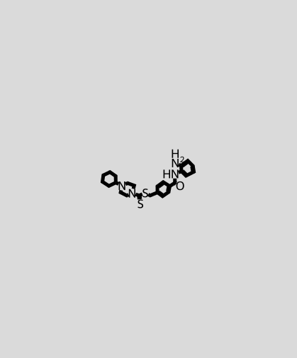 Nc1ccccc1NC(=O)c1ccc(CSC(=S)N2CCN(C3CCCCC3)CC2)cc1